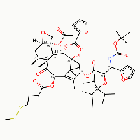 CSSCCCC(=O)O[C@H]1C(=O)[C@@]2(C)[C@H]([C@H](OC(=O)c3ccco3)[C@]3(O)C[C@H](OC(=O)[C@H](O[Si](C(C)C)(C(C)C)C(C)C)[C@@H](NC(=O)OC(C)(C)C)c4ccco4)C(C)=C1C3(C)C)[C@]1(OC(C)=O)CO[C@@H]1C[C@@H]2C